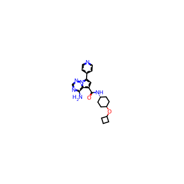 Nc1ncnn2c(-c3ccncc3)cc(C(=O)N[C@H]3CC[C@H](OC4CCC4)CC3)c12